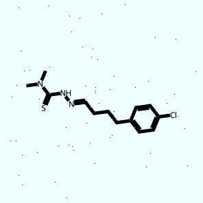 CN(C)C(=S)NN=CCCCc1ccc(Cl)cc1